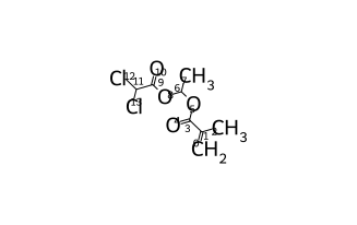 C=C(C)C(=O)OC(C)OC(=O)C(Cl)Cl